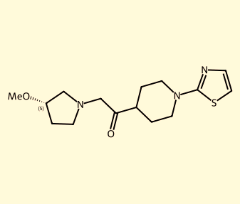 CO[C@H]1CCN(CC(=O)C2CCN(c3nccs3)CC2)C1